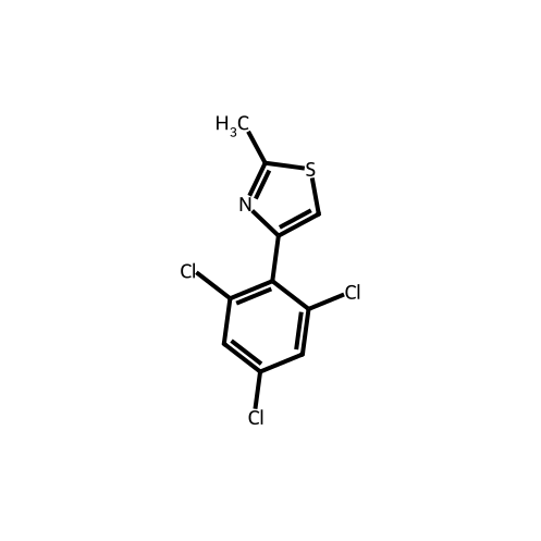 Cc1nc(-c2c(Cl)cc(Cl)cc2Cl)cs1